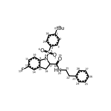 CC(C)(C)c1ccc(S(=O)(=O)N2c3ccc(F)cc3CC2C(=O)NCCc2ccccc2)cc1